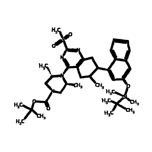 CC1Cc2c(nc(S(C)(=O)=O)nc2N2[C@@H](C)CN(C(=O)OC(C)(C)C)C[C@@H]2C)CC1c1cc(O[Si](C)(C)C(C)(C)C)cc2ccccc12